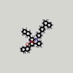 c1cc(-c2ccc3ccccc3c2)cc(N(c2ccc(-c3ccc(-c4cccc5ccccc45)cc3)cc2)c2ccccc2-c2ccc3oc4c5ccccc5ccc4c3c2)c1